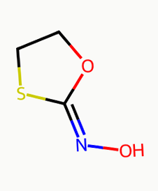 O/N=C1\OCCS1